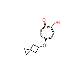 O=c1ccc(OC2CC3(CC3)C2)ccc1O